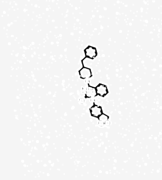 NC(=O)N(c1ccc2c(c1)COO2)c1ccccc1CN1CCC(Cc2ccccc2)CC1